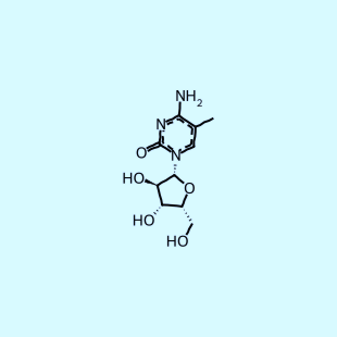 Cc1cn([C@@H]2O[C@H](CO)[C@H](O)[C@H]2O)c(=O)nc1N